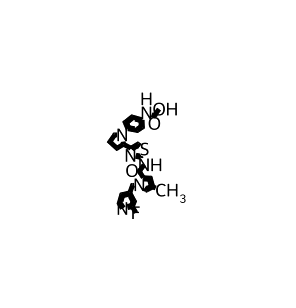 Cc1cc(C(=O)Nc2nc(C3CCCN3c3ccc(NC(=O)O)cc3)cs2)n(Cc2ccnc(F)c2)c1